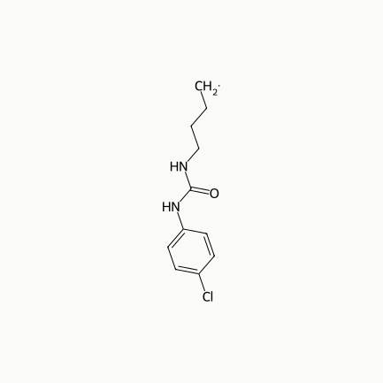 [CH2]CCCNC(=O)Nc1ccc(Cl)cc1